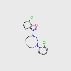 Clc1ccccc1N1CCCCCN(c2noc3c(Cl)cccc23)CC1